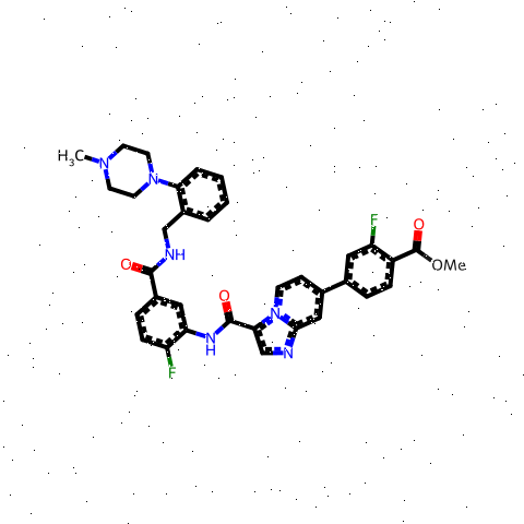 COC(=O)c1ccc(-c2ccn3c(C(=O)Nc4cc(C(=O)NCc5ccccc5N5CCN(C)CC5)ccc4F)cnc3c2)cc1F